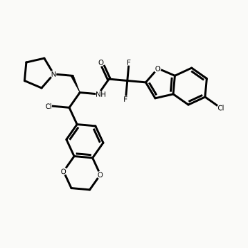 O=C(N[C@H](CN1CCCC1)C(Cl)c1ccc2c(c1)OCCO2)C(F)(F)c1cc2cc(Cl)ccc2o1